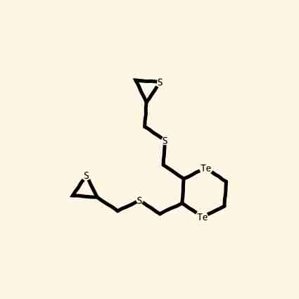 C1C[Te]C(CSCC2CS2)C(CSCC2CS2)[Te]1